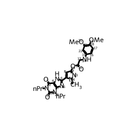 CCCn1c(=O)c2[nH]c(-c3cc(OC(=O)CNc4ccc(OC)c(OC)c4)nn3C)nc2n(CCC)c1=O